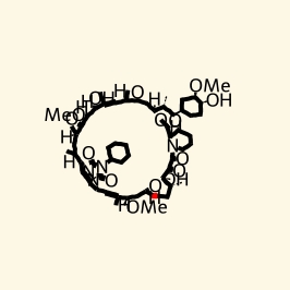 CO[C@H]1C[C@@H]2CC[C@@H](C)[C@@](O)(O2)C(=O)C(=O)N2CCCC[C@H]2C(=O)O[C@H]([C@H](C)C[C@@H]2CC[C@@H](O)[C@H](OC)C2)CC(=O)[C@H](C)/C=C(\C)[C@@H](O)[C@@H](OC)C(=O)[C@H](C)C[C@H](C)C2C=CC(/C=C/1C)n1c(=O)n(C3CCCCC3)c(=O)n12